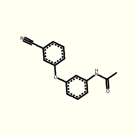 CC(=O)Nc1cccc(Oc2cccc(C#N)c2)c1